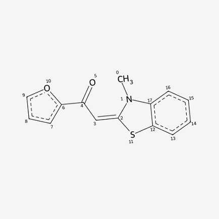 CN1C(=CC(=O)c2ccco2)Sc2ccccc21